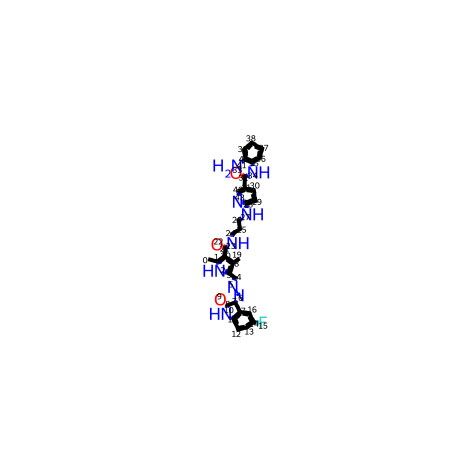 Cc1[nH]c(/C=N/N=C2\C(=O)Nc3ccc(F)cc32)c(C)c1C(=O)NCCCNc1ccc(C(=O)Nc2ccccc2N)cn1